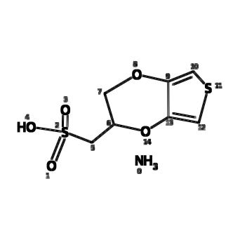 N.O=S(=O)(O)CC1COc2cscc2O1